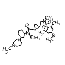 COc1cc(C)c(S(=O)(=O)N(C)CCOCC(=O)N(C)C2CCCC(N3CCCN(C)CC3)C2)c(C)c1